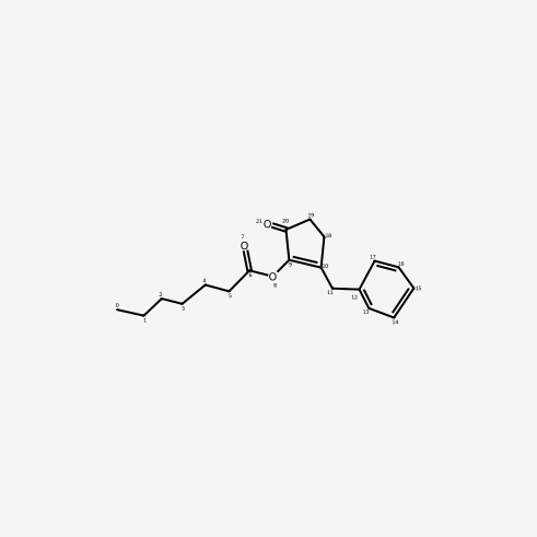 CCCCCCC(=O)OC1=C(Cc2ccccc2)CCC1=O